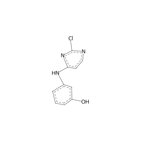 Oc1cccc(Nc2ccnc(Cl)n2)c1